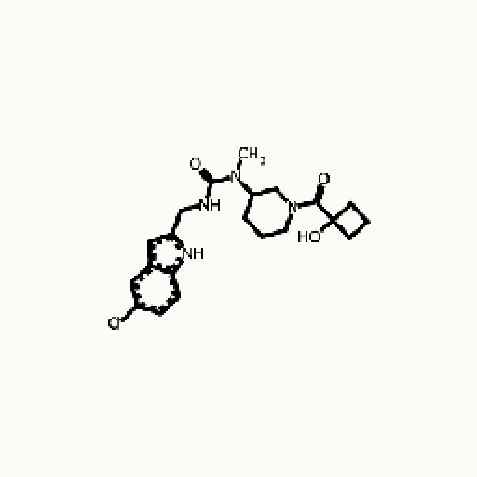 CN(C(=O)NCc1cc2cc(Cl)ccc2[nH]1)C1CCCN(C(=O)C2(O)CCC2)C1